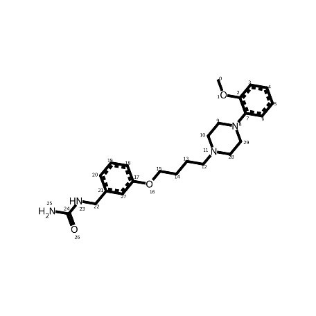 COc1ccccc1N1CCN(CCCCOc2cccc(CNC(N)=O)c2)CC1